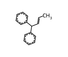 CC=CC(c1ccccc1)c1ccccc1